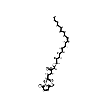 CCCCCCCC/C=C\CCCCCCCCOCC(=O)CCC(=O)ON1C(=O)CCC1=O